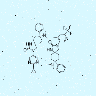 CN(C)C1(c2ccccc2)CCC2(CC1)CN(c1cnc(C3CC3)nc1)C(=O)N2.Cc1cc(C(F)(F)F)ncc1N1CC2(CCC(c3ccccc3)(N(C)C)CC2)NC1=O